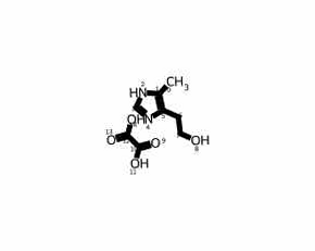 Cc1[nH]cnc1CCO.O=C(O)C(=O)O